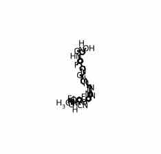 CCN(C)S(=O)(=O)Nc1ccc(F)c(Oc2ccc3ncc(-n4cc(N5CCCN(C(=O)CN6CCC(c7ccc(NC8CCC(O)NC8=O)cc7F)CC6)CC5)cn4)nc3c2)c1C#N